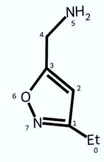 CCc1cc(CN)on1